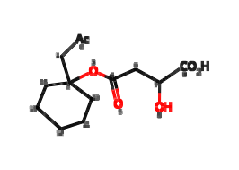 CC(=O)CC1(OC(=O)CC(O)C(=O)O)CCCCC1